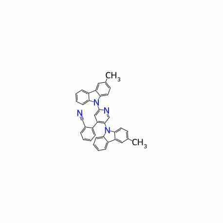 Cc1ccc2c(c1)c1ccccc1n2-c1cc(-c2ccccc2C#N)c(-n2c3ccccc3c3cc(C)ccc32)cn1